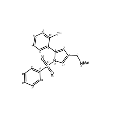 CNCc1cc(-c2cccnc2F)n(S(=O)(=O)c2c[c]ccc2)c1